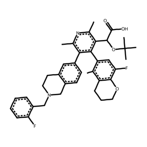 Cc1nc(C)c(C(OC(C)(C)C)C(=O)O)c(-c2cc(F)c3c(c2C)CCCO3)c1-c1ccc2c(c1)CCN(Cc1ccccc1F)C2